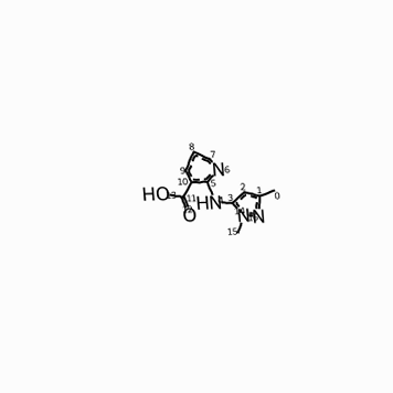 Cc1cc(Nc2ncccc2C(=O)O)n(C)n1